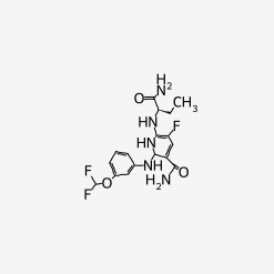 CC[C@@H](NC1=C(F)C=C(C(N)=O)C(Nc2cccc(OC(F)F)c2)N1)C(N)=O